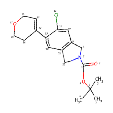 CC(C)(C)OC(=O)N1Cc2cc(Cl)c(C3=CCOCC3)cc2C1